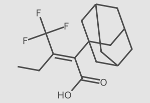 CCC(=C(C(=O)O)C12CC3CC(CC(C3)C1)C2)C(F)(F)F